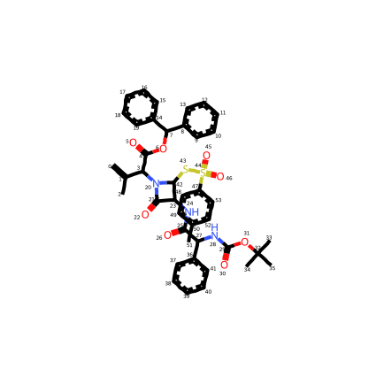 C=C(C)C(C(=O)OC(c1ccccc1)c1ccccc1)N1C(=O)C(NC(=O)C(NC(=O)OC(C)(C)C)c2ccccc2)C1SS(=O)(=O)c1ccc(C)cc1